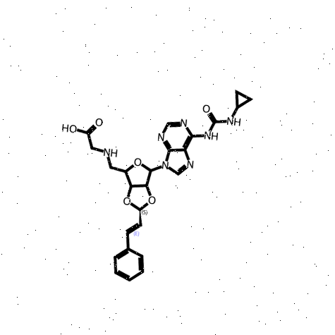 O=C(O)CNCC1OC(n2cnc3c(NC(=O)NC4CC4)ncnc32)C2O[C@@H](/C=C/c3ccccc3)OC12